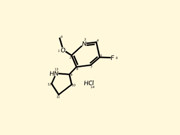 COc1ncc(F)cc1C1CCCN1.Cl